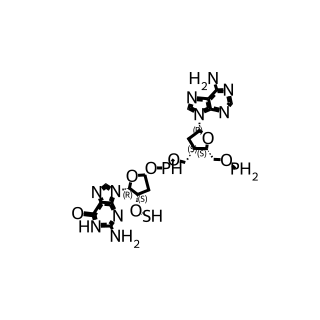 Nc1nc2c(ncn2[C@@H]2OC(OPOC[C@@H]3C[C@H](n4cnc5c(N)ncnc54)O[C@@H]3COP)C[C@@H]2OS)c(=O)[nH]1